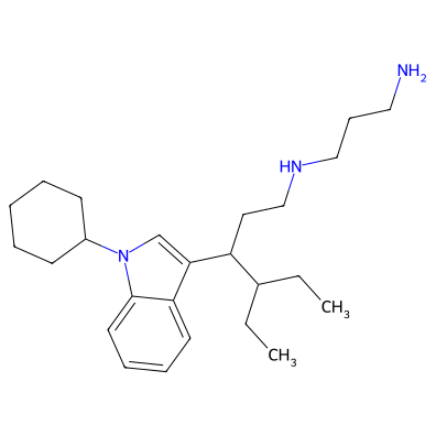 CCC(CC)C(CCNCCCN)c1cn(C2CCCCC2)c2ccccc12